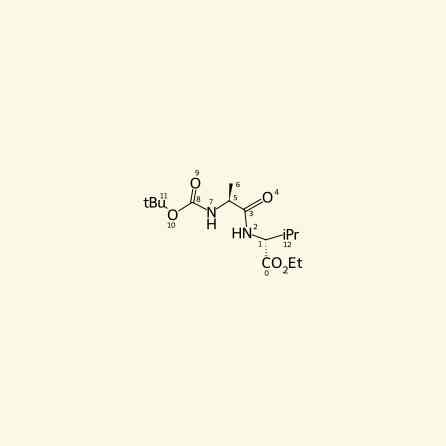 CCOC(=O)[C@H](NC(=O)[C@H](C)NC(=O)OC(C)(C)C)C(C)C